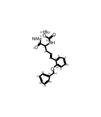 CNC(=O)C(CC=Cc1ccccc1OCc1ccccc1)NC(=O)OC(C)(C)C